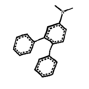 CN(C)c1ccc(-c2ccccc2)c(-c2ccccc2)c1